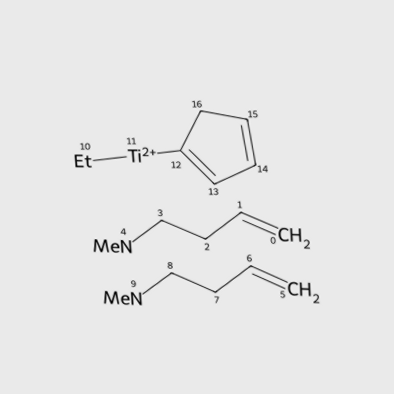 C=CCC[N-]C.C=CCC[N-]C.C[CH2][Ti+2][C]1=CC=CC1